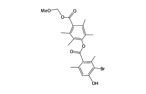 COCOC(=O)c1c(C)c(C)c(OC(=O)c2c(C)cc(O)c(Br)c2C)c(C)c1C